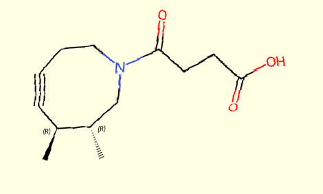 C[C@H]1C#CCCN(C(=O)CCC(=O)O)C[C@@H]1C